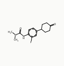 CN(C)C(=O)Nc1ccc(C2CCC(=O)CC2)cc1F